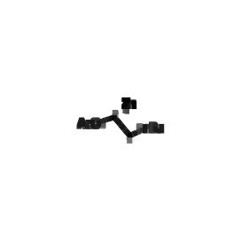 CCCCCCOC(C)=O.[Zn]